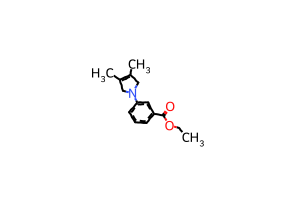 CCOC(=O)c1cccc(N2CC(C)=C(C)C2)c1